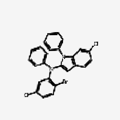 Clc1ccc(Br)c(N(c2ccccc2)c2cc3ccc(Cl)cc3n2-c2ccccc2)c1